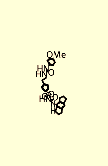 COc1cccc(NC(=O)NCCc2ccc(S(=O)(=O)NC(=O)Nc3c4c(cc5c3CCC5)CCC4)cc2)c1